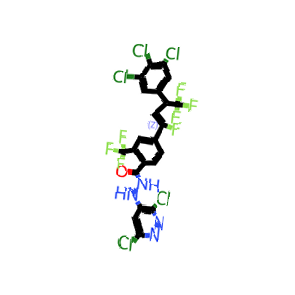 O=C(NNc1cc(Cl)nnc1Cl)c1ccc(/C(F)=C/C(c2cc(Cl)c(Cl)c(Cl)c2)C(F)(F)F)cc1C(F)(F)F